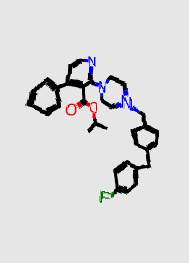 CC(C)OC(=O)c1c(-c2ccccc2)ccnc1N1CCN(Cc2ccc(Cc3ccc(F)cc3)cc2)CC1